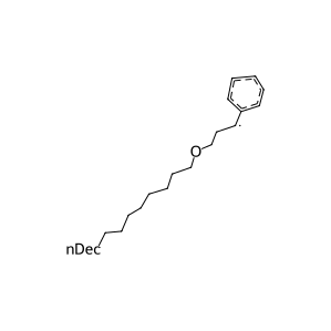 CCCCCCCCCCCCCCCCCCOCC[CH]c1ccccc1